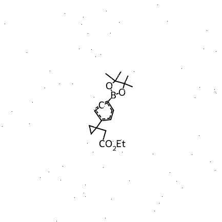 CCOC(=O)CC1(c2ccc(B3OC(C)(C)C(C)(C)O3)cc2)CC1